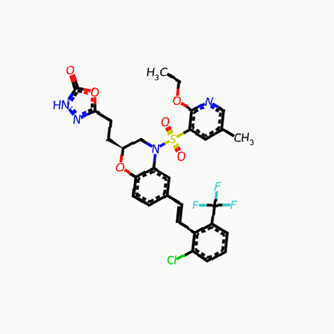 CCOc1ncc(C)cc1S(=O)(=O)N1C[C@H](CCc2n[nH]c(=O)o2)Oc2ccc(/C=C/c3c(Cl)cccc3C(F)(F)F)cc21